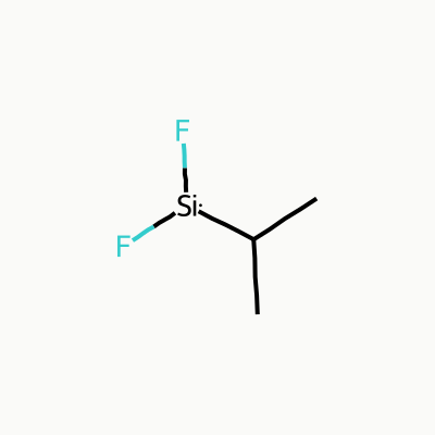 CC(C)[Si](F)F